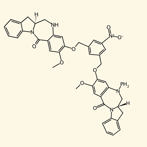 COc1cc2c(cc1OCc1cc(COc3cc4c(cc3OC)C(=O)N3c5ccccc5C[C@H]3CN4P)cc([N+](=O)[O-])c1)NC[C@@H]1Cc3ccccc3N1C2=O